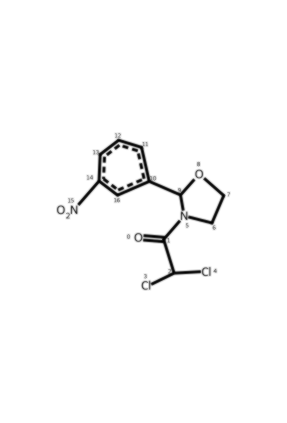 O=C(C(Cl)Cl)N1CCOC1c1cccc([N+](=O)[O-])c1